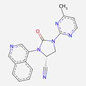 Cc1ccnc(N2C[C@H](C#N)N(c3cncc4ccccc34)C2=O)n1